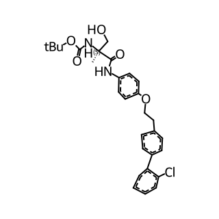 CC(C)(C)OC(=O)N[C@@](C)(CO)C(=O)Nc1ccc(OCCc2ccc(-c3ccccc3Cl)cc2)cc1